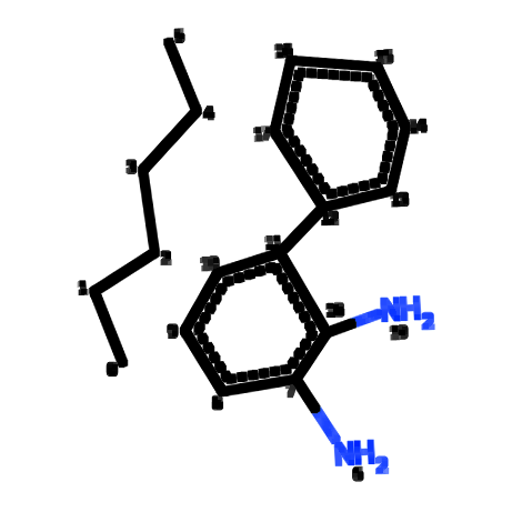 CCCCCC.Nc1cccc(-c2ccccc2)c1N